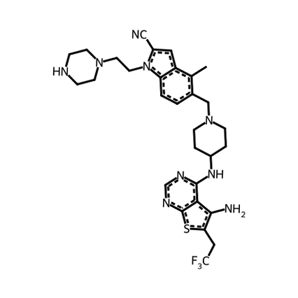 Cc1c(CN2CCC(Nc3ncnc4sc(CC(F)(F)F)c(N)c34)CC2)ccc2c1cc(C#N)n2CCN1CCNCC1